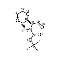 CC(C)(C)OC(=O)n1cc2c(c1C=O)OCCO2